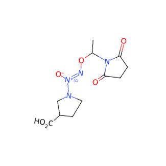 CC(O/N=[N+](\[O-])N1CCC(C(=O)O)C1)N1C(=O)CCC1=O